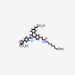 CCCCCCCCCCCCCCCCNC(=O)C=Cc1ccc(-c2[nH]c(-c3ccc(-c4cc(C(=O)OCC)on4)cc3)nc2-c2ccc(C=CC(=O)O)cc2)cc1